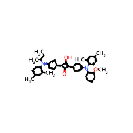 CCC(C)[N+](=C1C=CC(=C2C(=O)C(c3ccc(N(c4ccc(C)cc4C)C4CCCCC4OC)cc3)=C2O)C=C1)c1ccc(C)cc1C